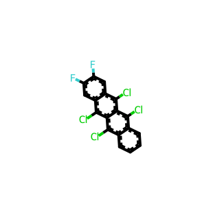 Fc1cc2c(Cl)c3c(Cl)c4ccccc4c(Cl)c3c(Cl)c2cc1F